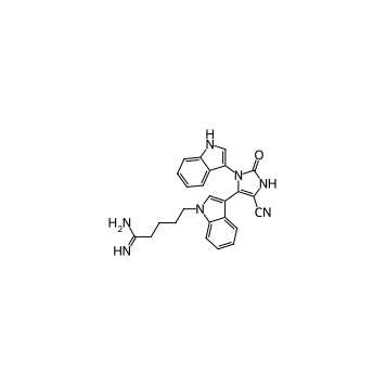 N#Cc1[nH]c(=O)n(-c2c[nH]c3ccccc23)c1-c1cn(CCCCC(=N)N)c2ccccc12